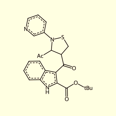 CC(=O)C1C(C(=O)c2c(C(=O)OC(C)(C)C)[nH]c3ccccc23)CSN1c1cccnc1